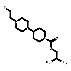 CC(C)COC(=O)N1CCC(N2CCN(CCF)CC2)CC1